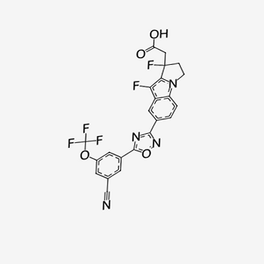 N#Cc1cc(OC(F)(F)F)cc(-c2nc(-c3ccc4c(c3)c(F)c3n4CCC3(F)CC(=O)O)no2)c1